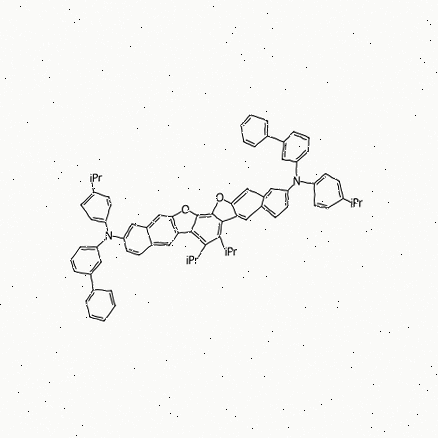 CC(C)c1ccc(N(c2cccc(-c3ccccc3)c2)c2ccc3cc4c(cc3c2)oc2c3oc5cc6cc(N(c7ccc(C(C)C)cc7)c7cccc(-c8ccccc8)c7)ccc6cc5c3c(C(C)C)c(C(C)C)c42)cc1